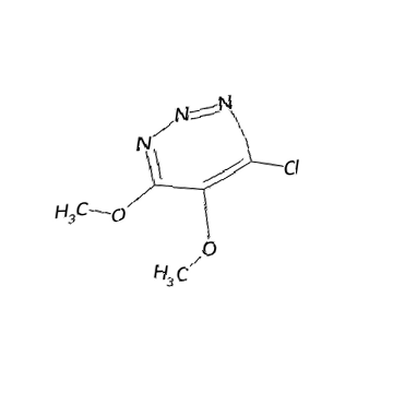 COc1nnnc(Cl)c1OC